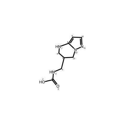 O=C(O)NCC1CNc2ccnn2C1